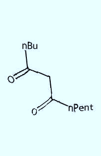 CCCCCC(=O)CC(=O)CCCC